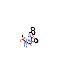 CCOC(=O)[C@H]1N[C@@H]1C(=O)N[C@@H](Cc1ccccc1)C(=O)N(C)Cc1cccc2ccccc12